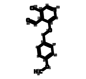 COc1ccc(COc2cncc(Cl)c2C=O)cc1